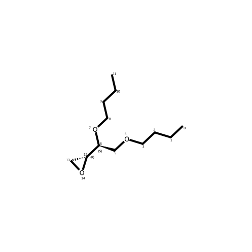 CCCCOC[C@H](OCCCC)[C@H]1CO1